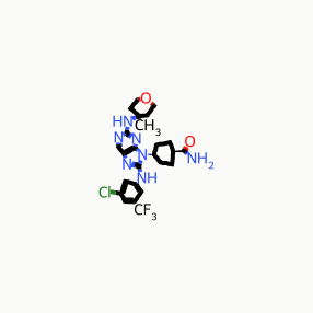 CC1(Nc2ncc3nc(Nc4cc(Cl)cc(C(F)(F)F)c4)n([C@H]4CC[C@H](C(N)=O)CC4)c3n2)CCOCC1